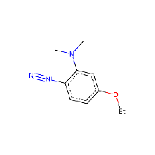 CCOc1ccc([N+]#N)c(N(C)C)c1